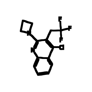 FC(F)(F)Cc1c(N2CCC2)nc2ccccc2c1Cl